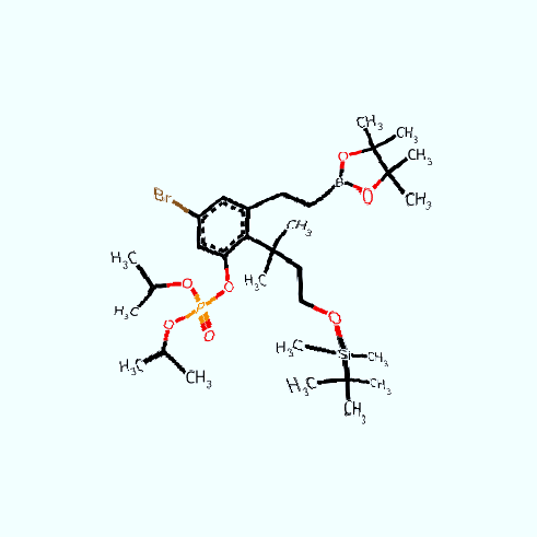 CC(C)OP(=O)(Oc1cc(Br)cc(CCB2OC(C)(C)C(C)(C)O2)c1C(C)(C)CCO[Si](C)(C)C(C)(C)C)OC(C)C